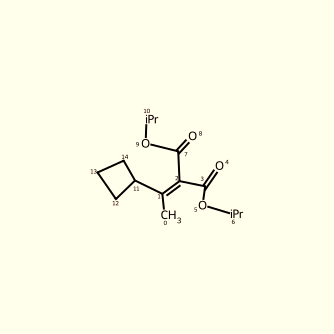 CC(=C(C(=O)OC(C)C)C(=O)OC(C)C)C1CCC1